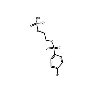 O=P(O)(O)OCCOS(=O)(=O)c1ccc(Br)cc1